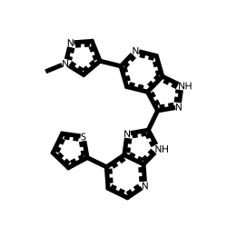 Cn1cc(-c2cc3c(-c4nc5c(-c6cccs6)ccnc5[nH]4)n[nH]c3cn2)cn1